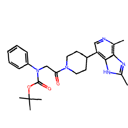 Cc1nc2c(C)ncc(C3CCN(C(=O)CN(C(=O)OC(C)(C)C)c4ccccc4)CC3)c2[nH]1